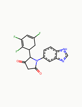 O=C1CC(=O)N(c2ccc3[nH]cnc3c2)C1C1CC(F)=CC(F)=C1F